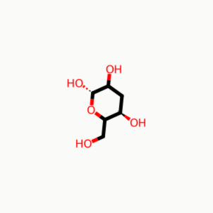 OCC1O[C@H](O)C(O)C[C@H]1O